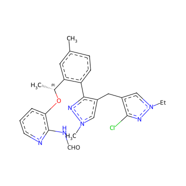 CCn1cc(Cc2cn(C)nc2-c2ccc(C)cc2[C@@H](C)Oc2cccnc2NC=O)c(Cl)n1